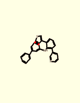 c1ccc(-c2cccc(Nc3c(-c4cccnc4)cccc3-c3ccsc3)c2)cc1